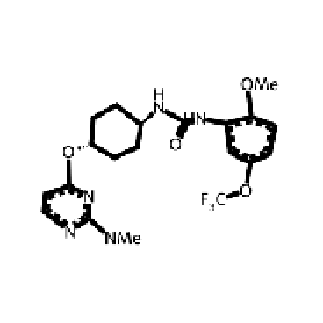 CNc1nccc(O[C@H]2CC[C@H](NC(=O)Nc3cc(OC(F)(F)F)ccc3OC)CC2)n1